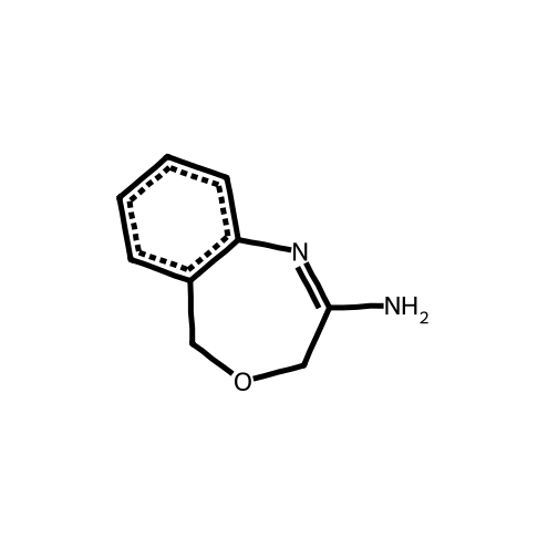 NC1=Nc2ccccc2COC1